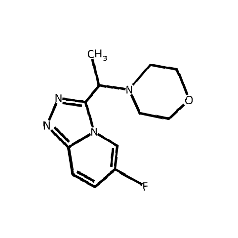 CC(c1nnc2ccc(F)cn12)N1CCOCC1